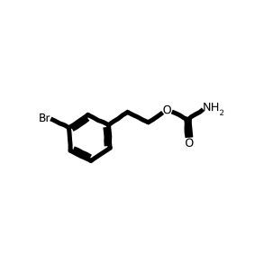 NC(=O)OCCc1cccc(Br)c1